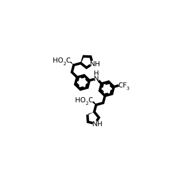 O=C(O)[C@@H](Cc1cccc(Nc2cc(C[C@H](C(=O)O)[C@H]3CCNC3)cc(C(F)(F)F)c2)c1)[C@H]1CCNC1